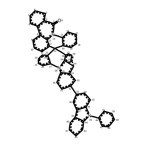 O=c1c2ccccc2c2cccc3c2n1-c1ccccc1C31c2ccccc2-n2c3ccc(-c4ccc5c(c4)c4ccccc4n5-c4ccccc4)cc3c3cccc1c32